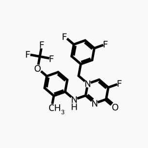 Cc1cc(OC(F)(F)F)ccc1Nc1nc(=O)c(F)cn1Cc1cc(F)cc(F)c1